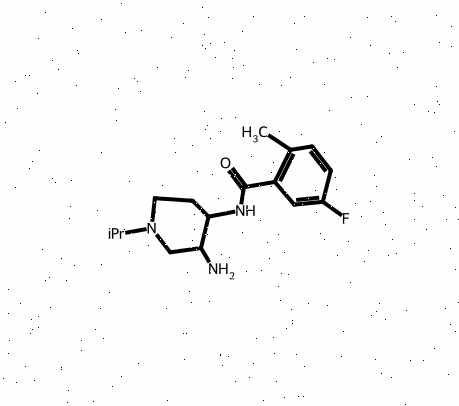 Cc1ccc(F)cc1C(=O)NC1CCN(C(C)C)CC1N